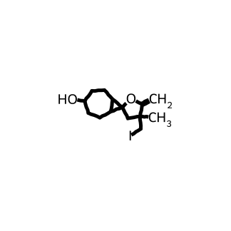 C=C1OC2(CC1(C)CI)C1CCC(O)CCC12